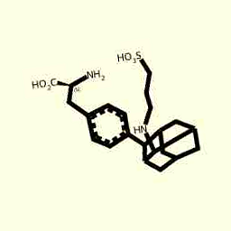 N[C@@H](Cc1ccc(C2C3CC4CC(C3)C(NCCCS(=O)(=O)O)C2C4)cc1)C(=O)O